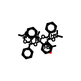 C[SiH](C)O[Si](O[SiH](C)C)(O[Si](O[Si](O[SiH](C)C)(O[SiH](C)C)c1ccccc1)(c1ccccc1)c1ccccc1)c1ccccc1